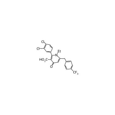 CCn1c(Cc2ccc(C(F)(F)F)cc2)cc(=O)c(C(=O)O)c1-c1ccc(Cl)c(Cl)c1